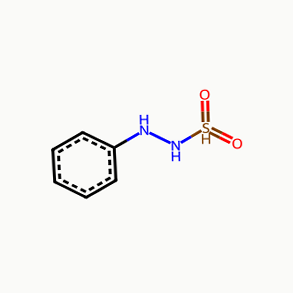 O=[SH](=O)NNc1ccccc1